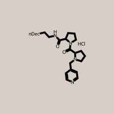 CCCCCCCCCCCCNC(=O)C1CCCN1C(=O)C1CCCN1Cc1ccncc1.Cl